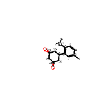 CBc1ccc(C)cc1C1CC(=O)CC(=O)C1